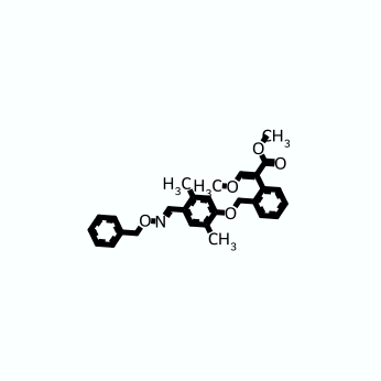 CO/C=C(/C(=O)OC)c1ccccc1COc1cc(C)c(/C=N/OCc2ccccc2)cc1C